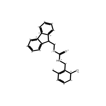 CC1=C(CNC(=O)OCC2c3ccccc3-c3ccccc32)C(Cl)CC=C1